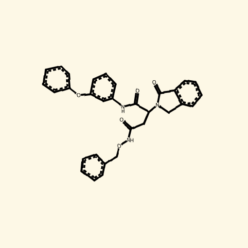 O=C(CC(C(=O)Nc1cccc(Oc2ccccc2)c1)N1Cc2ccccc2C1=O)NOCc1ccccc1